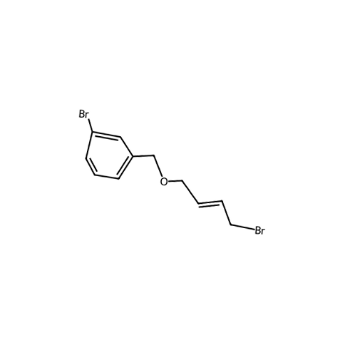 BrCC=CCOCc1cccc(Br)c1